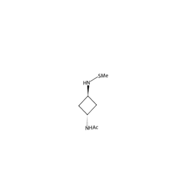 CSN[C@H]1C[C@H](NC(C)=O)C1